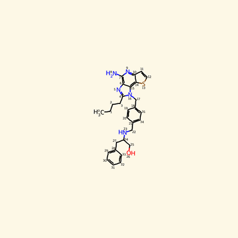 CCCCc1nc2c(N)nc3ccsc3c2n1Cc1ccc(CNC(CO)Cc2ccccc2)cc1